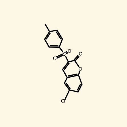 Cc1ccc(S(=O)(=O)c2cc3cc(Cl)ccc3oc2=O)cc1